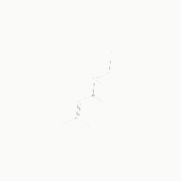 CC(C)=CC(=O)NCC(C)(C)C